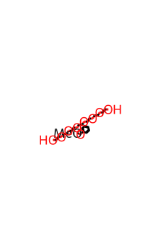 COOc1ccccc1.OCCOCCOCCOCCOCCOCCOCCO